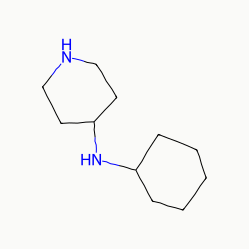 C1CCC(NC2CCNCC2)CC1